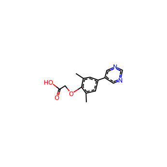 Cc1cc(-c2cncnc2)cc(C)c1OCC(=O)O